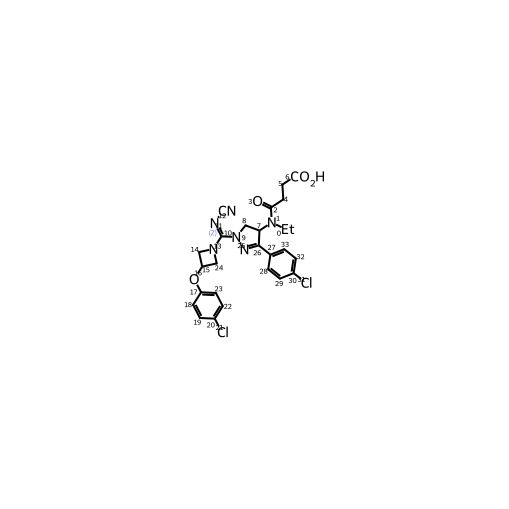 CCN(C(=O)CCC(=O)O)C1CN(/C(=N\C#N)N2CC(Oc3ccc(Cl)cc3)C2)N=C1c1ccc(Cl)cc1